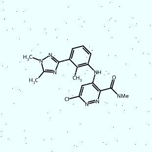 CNC(=O)c1nnc(Cl)cc1Nc1cccc(-c2nc(C)n(C)n2)c1C